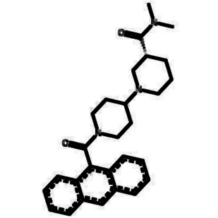 CN(C)C(=O)[C@@H]1CCCN(C2CCN(C(=O)c3c4ccccc4cc4ccccc34)CC2)C1